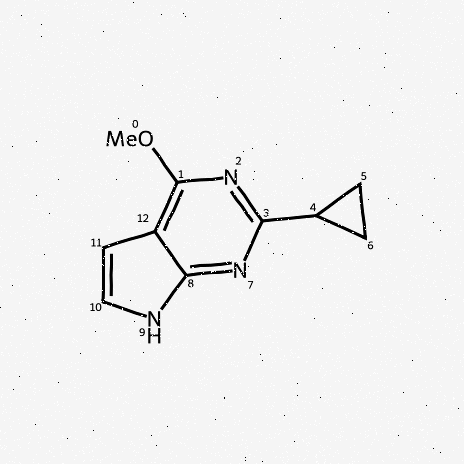 COc1nc(C2CC2)nc2[nH]ccc12